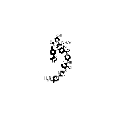 CC(=O)N[C@H](C(=O)N1C[C@H](O)C[C@H]1C(=O)NCc1ccc(-c2scnc2C)cc1OC1CCC(C(=O)N2CCC(Nc3nccc(Sc4cnc(N5CCC(C)(CN)CC5)cn4)c3Cl)CC2)CC1)C(C)(C)C